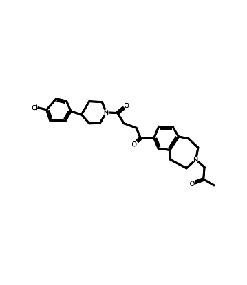 CC(=O)CN1CCc2ccc(C(=O)CCC(=O)N3CCC(c4ccc(Cl)cc4)CC3)cc2CC1